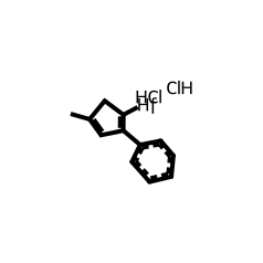 CC1=CC(c2ccccc2)=[C]([Hf])C1.Cl.Cl